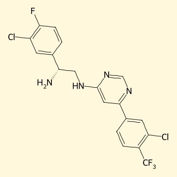 N[C@@H](CNc1cc(-c2ccc(C(F)(F)F)c(Cl)c2)ncn1)c1ccc(F)c(Cl)c1